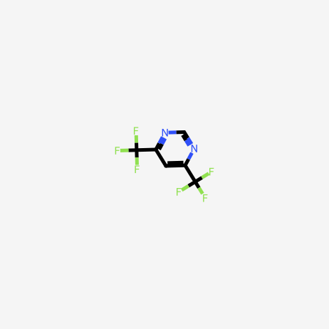 FC(F)(F)c1cc(C(F)(F)F)ncn1